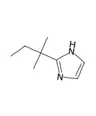 CCC(C)(C)c1ncc[nH]1